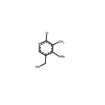 CNc1c(CO)cnc(Cl)c1C